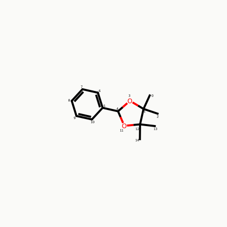 CC1(C)OC(c2ccccc2)OC1(C)C